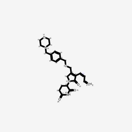 C=C/C=C\C1=C(COCc2ccc(CN3CCOCC3)cc2)CN(C2CCC(=O)NC2=O)C1=O